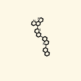 c1ccc2cc(-c3ccc4ccc(-c5ccc6ccc(-c7cc8cccnc8c8ncccc78)nc6c5)cc4n3)ccc2c1